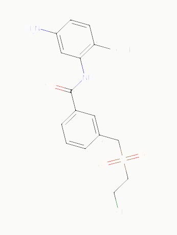 Nc1ccc(S(=O)(=O)O)c(NC(=O)c2cccc(CS(=O)(=O)CCCl)c2)c1